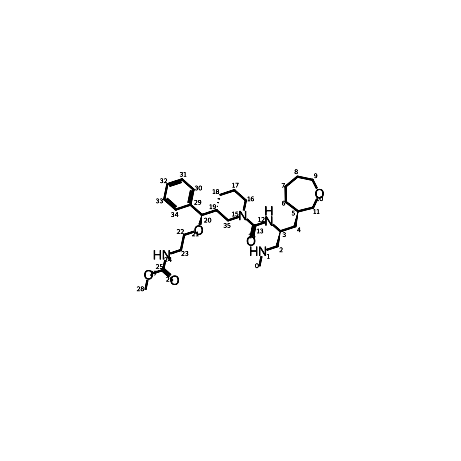 CNC[C@H](C[C@H]1CCCCOC1)NC(=O)N1CCC[C@@H]([C@@H](OCCNC(=O)OC)c2ccccc2)C1